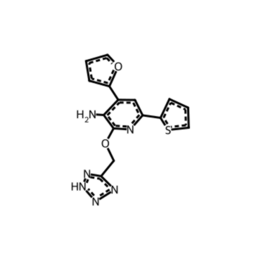 Nc1c(-c2ccco2)cc(-c2cccs2)nc1OCc1nn[nH]n1